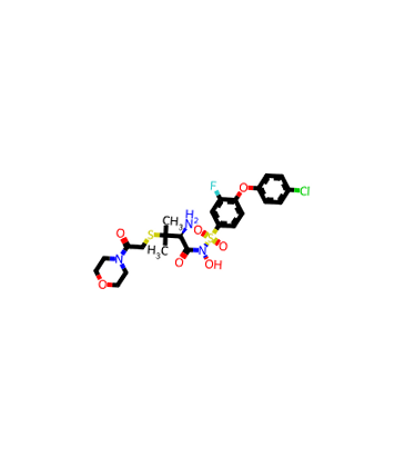 CC(C)(SCC(=O)N1CCOCC1)[C@@H](N)C(=O)N(O)S(=O)(=O)c1ccc(Oc2ccc(Cl)cc2)c(F)c1